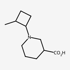 CC1CCC1N1CCCC(C(=O)O)C1